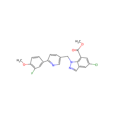 COC(=O)c1cc(Cl)cc2cnn(Cc3ccc(-c4ccc(OC)c(F)c4)nc3)c12